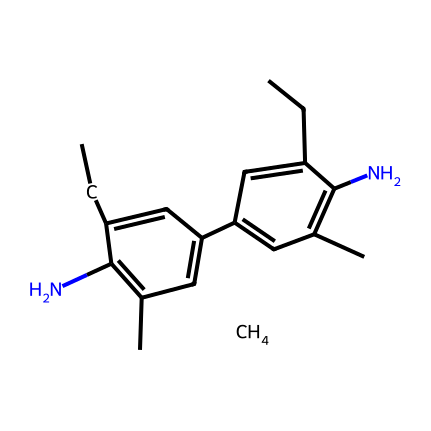 C.CCc1cc(-c2cc(C)c(N)c(CC)c2)cc(C)c1N